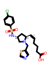 O=C(O)CCC/C=C\[C@@H]1C[C@@H](NS(=O)(=O)c2ccc(Cl)cc2)CN1Cc1cncs1